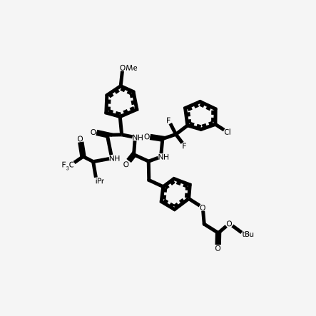 COc1ccc(C(NC(=O)C(Cc2ccc(OCC(=O)OC(C)(C)C)cc2)NC(=O)C(F)(F)c2cccc(Cl)c2)C(=O)NC(C(=O)C(F)(F)F)C(C)C)cc1